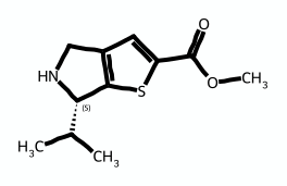 COC(=O)c1cc2c(s1)[C@H](C(C)C)NC2